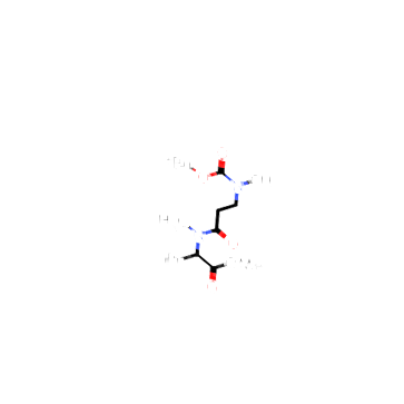 COC(=O)C(C(C)C)N(C)C(=O)CCN(C)C(=O)OC(C)(C)C